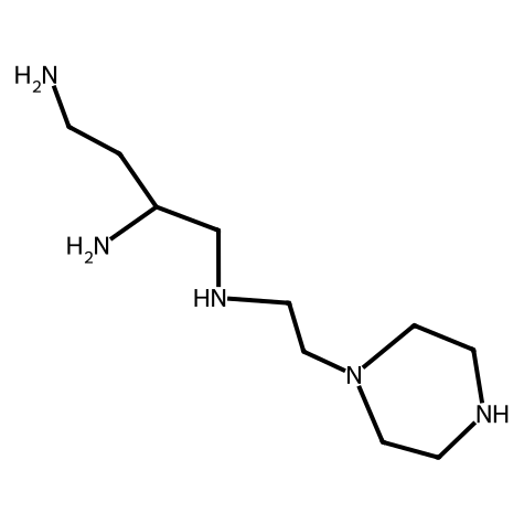 NCCC(N)CNCCN1CCNCC1